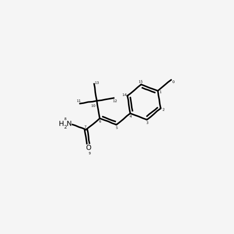 Cc1ccc(/C=C(/C(N)=O)C(C)(C)C)cc1